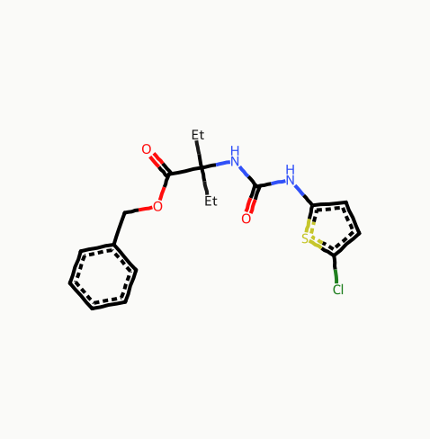 CCC(CC)(NC(=O)Nc1ccc(Cl)s1)C(=O)OCc1ccccc1